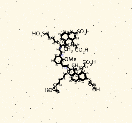 COC1=C(/C=C/C2=[N+](CCCCOS(=O)O)c3ccc4cc(SOOO)cc(OCC(=O)O)c4c3C2(C)C)CCC/C1=C\C=C1\N(CCCCS(=O)(=O)O)c2ccc3cc(S(=O)(=O)O)cc(OCC(=O)O)c3c2C1(C)C